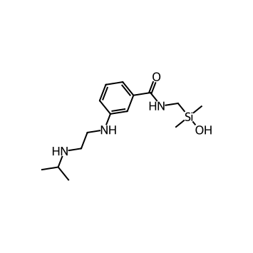 CC(C)NCCNc1cccc(C(=O)NC[Si](C)(C)O)c1